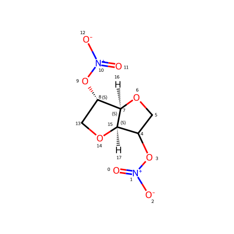 O=[N+]([O-])OC1CO[C@@H]2[C@@H](O[N+](=O)[O-])CO[C@H]12